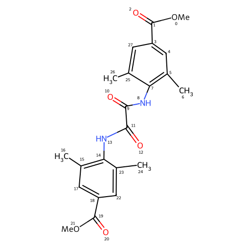 COC(=O)c1cc(C)c(NC(=O)C(=O)Nc2c(C)cc(C(=O)OC)cc2C)c(C)c1